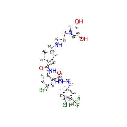 O=C(Nc1ccc(Br)cc1C(=O)N/N=C\c1ccc(Cl)c(C(F)(F)F)c1)c1ccc(CNCCCN(CCO)CCO)cc1